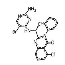 C[C@H](Nc1nc(N)ncc1Br)c1nc2cccc(Cl)c2c(=O)n1-c1ccccc1